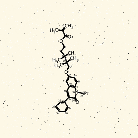 C=C(C)C(=O)OCCC(C)(C)C(C)(C)COc1ccc2c(c1)cc(-c1ccccc1)c(=O)n2C(C)C